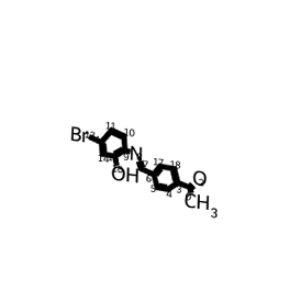 CC(=O)c1ccc(C=Nc2ccc(Br)cc2O)cc1